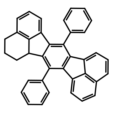 c1ccc(-c2c3c(c(-c4ccccc4)c4c2-c2cccc5c2C4CCC5)-c2cccc4cccc-3c24)cc1